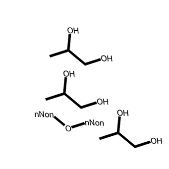 CC(O)CO.CC(O)CO.CC(O)CO.CCCCCCCCCOCCCCCCCCC